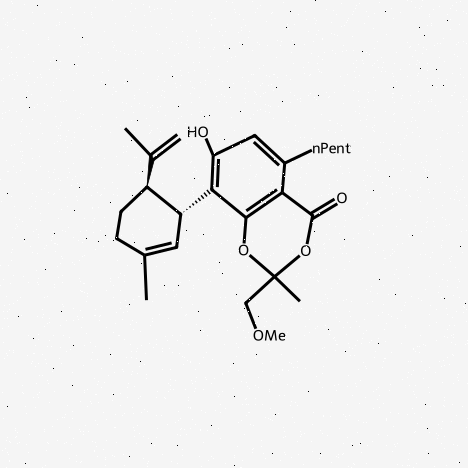 C=C(C)[C@@H]1CCC(C)=C[C@H]1c1c(O)cc(CCCCC)c2c1OC(C)(COC)OC2=O